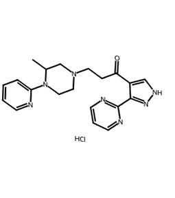 CC1CN(CCC(=O)c2c[nH]nc2-c2ncccn2)CCN1c1ccccn1.Cl